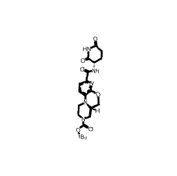 CC(C)(C)OC(=O)N1CCN2c3ccc(C(=O)N[C@H]4CCC(=O)NC4=O)nc3OC[C@@H]2C1